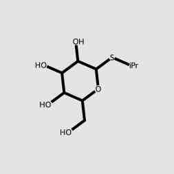 CC(C)SC1OC(CO)C(O)C(O)C1O